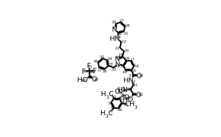 Cc1cc(C)c(S(=O)(=O)NC(CNC(=O)c2ccc3c(CCCNc4ccccn4)nn(Cc4ccccc4)c3c2)C(=O)O)c(C)c1.O=C(O)C(F)(F)F